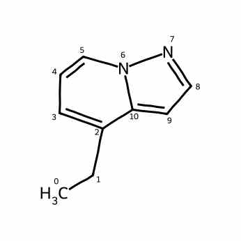 CCc1cccn2nccc12